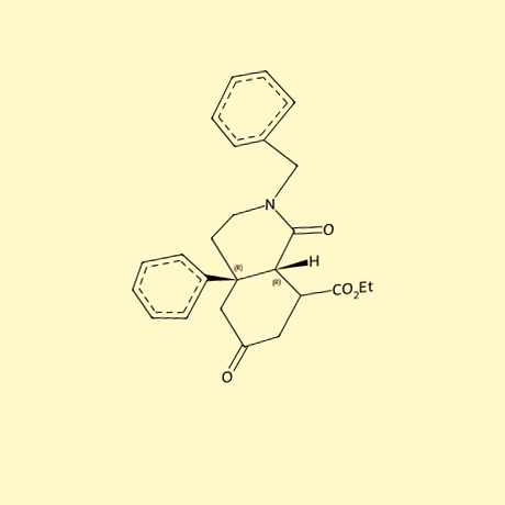 CCOC(=O)C1CC(=O)C[C@]2(c3ccccc3)CCN(Cc3ccccc3)C(=O)[C@H]12